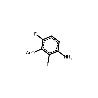 CC(=O)Oc1c(F)ccc(N)c1F